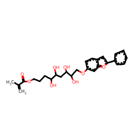 C=C(C)C(=O)OCCCC(O)C(O)CC(O)C(O)COc1ccc2cc(-c3ccccc3)oc2c1